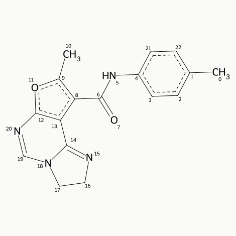 Cc1ccc(NC(=O)c2c(C)oc3c2C2=NCCN2C=N3)cc1